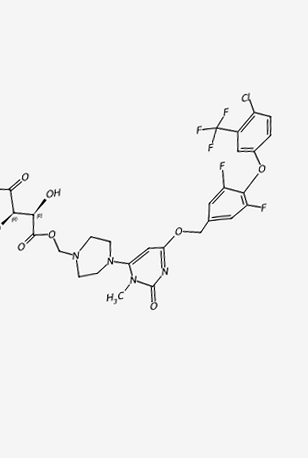 Cn1c(N2CCN(COC(=O)[C@H](O)[C@@H](O)C(=O)O)CC2)cc(OCc2cc(F)c(Oc3ccc(Cl)c(C(F)(F)F)c3)c(F)c2)nc1=O